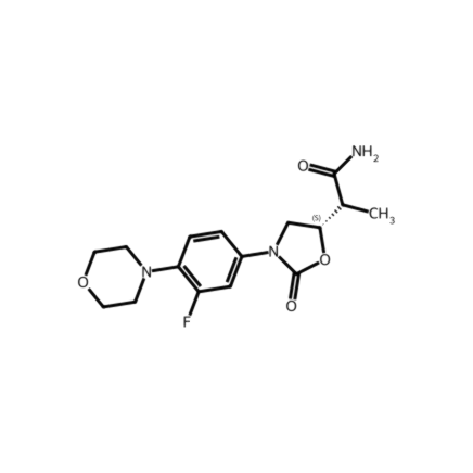 CC(C(N)=O)[C@H]1CN(c2ccc(N3CCOCC3)c(F)c2)C(=O)O1